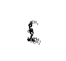 COc1ccc(CN2CCC3(CCN(CCC(NC(=O)C(C)C)c4cccs4)CC3)C2=O)cc1